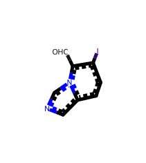 O=Cc1c(I)ccc2cncn12